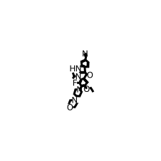 CCOc1cc2c(=O)c3c4ccc(C#N)cc4[nH]c3n(C(C)C)c2c(F)c1N1CCC(N2CCOCC2)CC1